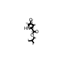 CC(C)COC(=O)c1cc([O])c[nH]1